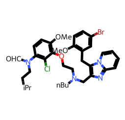 CCCCN(CCOc1c(OC)ccc(N(C=O)CCC(C)C)c1Cl)Cc1nc2ccccn2c1Cc1cc(Br)ccc1OC